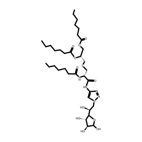 CCCCCCC(=O)N[C@H](CSC[C@@H](COC(=O)CCCCCC)OC(=O)CCCCCC)C(=O)Nc1cn(C[C@H](O)C2OC(O)[C@@H](O)[C@@H]2O)nn1